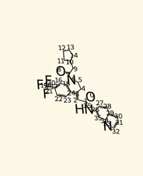 O=C(/C=C1\CCN(C(=O)CC2CCCC2)c2cc(C(F)(F)F)ccc21)Nc1ccc2cccnc2c1